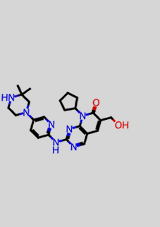 CC1(C)CN(c2ccc(Nc3ncc4cc(CO)c(=O)n(C5CCCC5)c4n3)nc2)CCN1